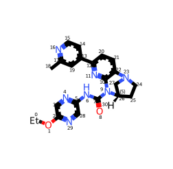 CCOc1cnc(NC(=O)N2c3nc(-c4ccnc(C)c4)ccc3N3CC[C@H]2C3)cn1